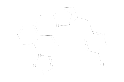 O=C(c1c(F)cccc1-n1ccnn1)N1CC2CC(Oc3ccc(C(F)(F)F)cn3)C1C2